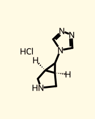 Cl.c1nncn1C1[C@H]2CNC[C@@H]12